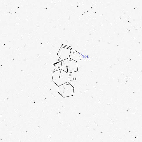 NC[C@@]12C#CC[C@H]1[C@@H]1CCC3CCCC[C@@H]3[C@H]1CC2